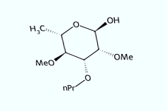 CCCO[C@@H]1[C@@H](OC)[C@H](C)O[C@@H](O)[C@@H]1OC